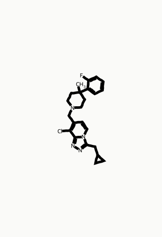 CC1(c2ccccc2F)CCN(Cc2ccn3c(CC4CC4)nnc3c2Cl)CC1